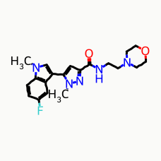 Cn1nc(C(=O)NCCN2CCOCC2)cc1-c1cn(C)c2ccc(F)cc12